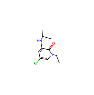 CCn1cc(Cl)cc(NC(C)C)c1=O